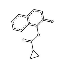 O=C(On1c(=O)ccc2ccccc21)C1CC1